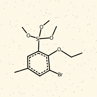 CCOc1c(Br)cc(C)cc1[Si](OC)(OC)OC